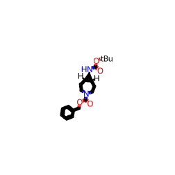 CC(C)(C)OC(=O)N[C@H]1[C@@H]2CCN(C(=O)OCc3ccccc3)CC[C@@H]21